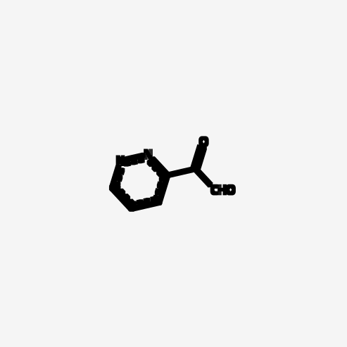 O=CC(=O)c1cccnn1